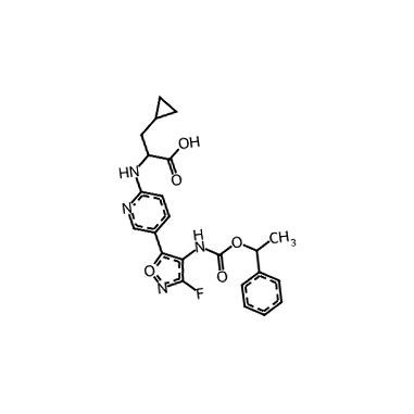 CC(OC(=O)Nc1c(F)noc1-c1ccc(NC(CC2CC2)C(=O)O)nc1)c1ccccc1